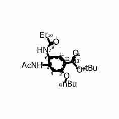 CCCCOc1cc(NC(C)=O)c(NC(=O)CC)cc1C(=O)OC(C)(C)C